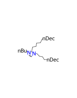 CCCCCCCCCCCCCCCC1N(CCCC)C=CN1CCCCCCCCCCCCCC